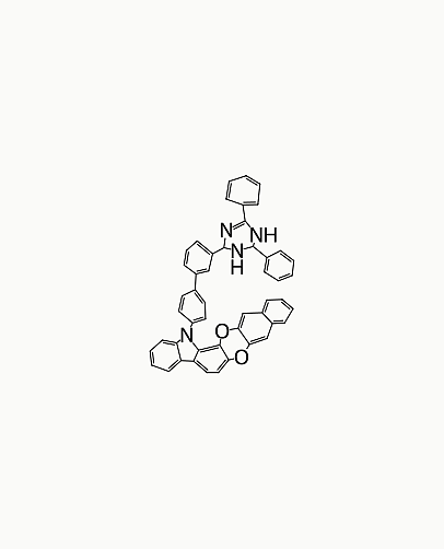 c1ccc(C2=NC(c3cccc(-c4ccc(-n5c6ccccc6c6ccc7c(c65)Oc5cc6ccccc6cc5O7)cc4)c3)NC(c3ccccc3)N2)cc1